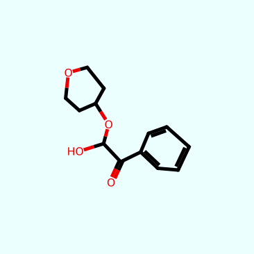 O=C(c1ccccc1)C(O)OC1CCOCC1